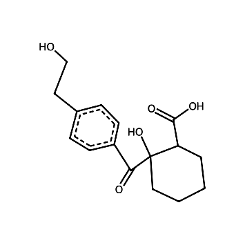 O=C(O)C1CCCCC1(O)C(=O)c1ccc(CCO)cc1